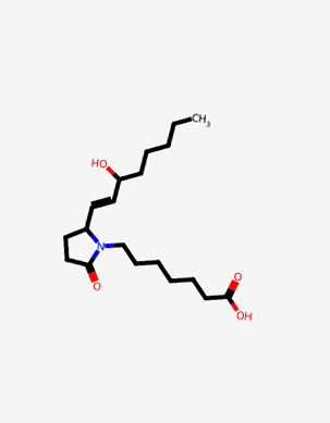 CCCCCC(O)/C=C/C1CCC(=O)N1CCCCCCC(=O)O